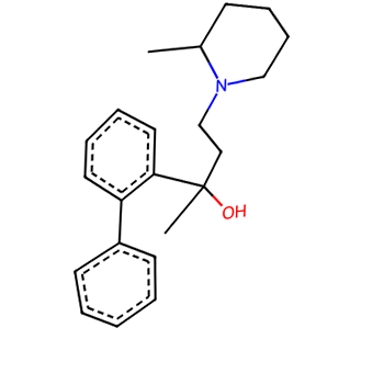 CC1CCCCN1CCC(C)(O)c1ccccc1-c1ccccc1